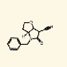 N#CC1C(=O)N(Cc2ccccc2)[C@@H]2CCOC12